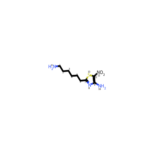 NCCCCCCc1nc(N)c([N+](=O)[O-])s1